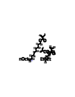 C=C(C)C(=O)OCC.C=C(C)C(=O)OCCCCCCCC/C=C\CCCCCCCC.C=C(C)C(=O)OCC[N+](C)(CC)CC